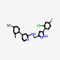 Cc1cc(C#N)ccc1-c1ccnc(NCc2cc(-c3ccc(F)cc3Cl)[nH]n2)c1